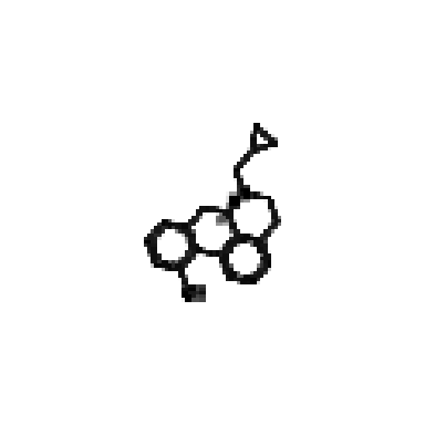 Oc1cccc2c1-c1cccc3c1[C@@H](C2)N(CC1CC1)CC3